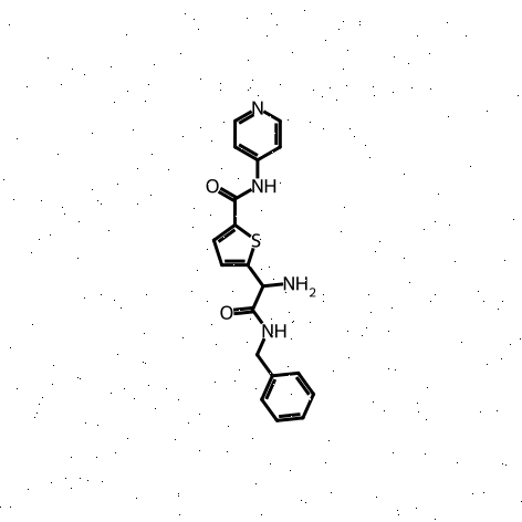 NC(C(=O)NCc1ccccc1)c1ccc(C(=O)Nc2ccncc2)s1